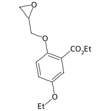 CCOC(=O)c1cc(OCC)ccc1OCC1CO1